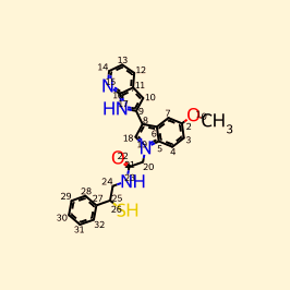 COc1ccc2c(c1)c(-c1cc3cccnc3[nH]1)cn2CC(=O)NCC(S)c1ccccc1